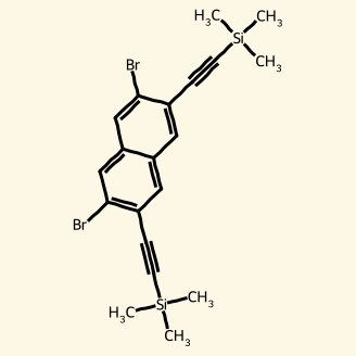 C[Si](C)(C)C#Cc1cc2cc(C#C[Si](C)(C)C)c(Br)cc2cc1Br